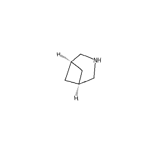 C1NC[C@H]2C[C@@H]1C2